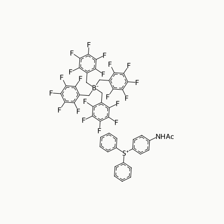 CC(=O)Nc1ccc([S+](c2ccccc2)c2ccccc2)cc1.Fc1c(F)c(F)c(C[B-](Cc2c(F)c(F)c(F)c(F)c2F)(Cc2c(F)c(F)c(F)c(F)c2F)Cc2c(F)c(F)c(F)c(F)c2F)c(F)c1F